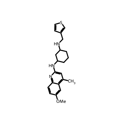 COc1ccc2nc(NC3CCCC(NCc4ccsc4)C3)cc(C)c2c1